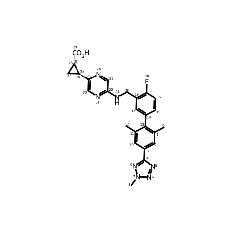 Cc1cc(-c2nnn(C)n2)cc(C)c1-c1ccc(F)c(CNc2cnc([C@H]3C[C@@H]3C(=O)O)cn2)c1